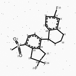 CS(=O)(=O)c1ccc(C2CCCc3cc(F)ccc32)c2c1CC(F)(F)C2